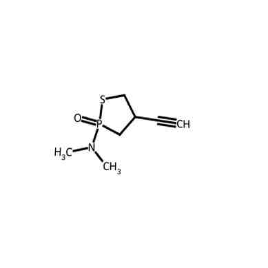 C#CC1CSP(=O)(N(C)C)C1